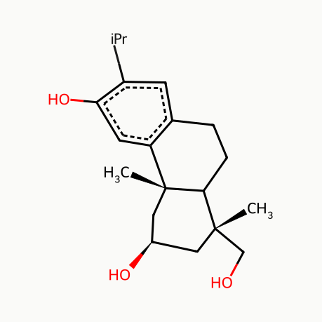 CC(C)c1cc2c(cc1O)[C@@]1(C)C[C@H](O)C[C@@](C)(CO)C1CC2